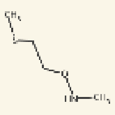 CNOCCSC